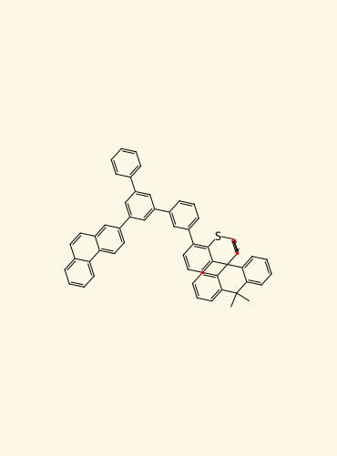 CC1(C)c2ccccc2C2(c3ccccc3Sc3c(-c4cccc(-c5cc(-c6ccccc6)cc(-c6ccc7c(ccc8ccccc87)c6)c5)c4)cccc32)c2ccccc21